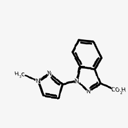 Cn1ccc(-n2nc(C(=O)O)c3ccccc32)n1